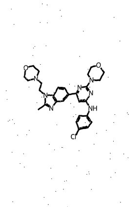 Cc1nc2cc(-c3cc(Nc4ccc(Cl)cc4)nc(N4CCOCC4)n3)ccc2n1CCN1CCOCC1